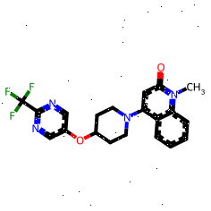 Cn1c(=O)cc(N2CCC(Oc3cnc(C(F)(F)F)nc3)CC2)c2ccccc21